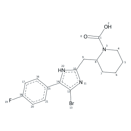 O=C(O)N1CCCCC1Cc1nc(Br)c(-c2ccc(F)cc2)[nH]1